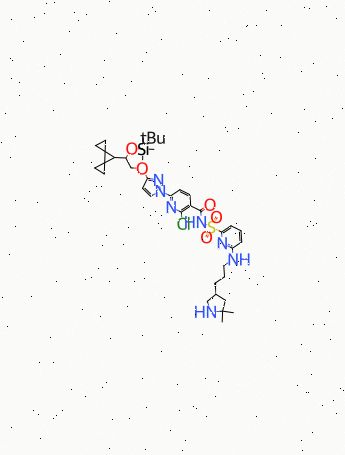 CC1(C)C[C@H](CCCNc2cccc(S(=O)(=O)NC(=O)c3ccc(-n4ccc(OCC(O[Si](C)(C)C(C)(C)C)C5C6(CC6)C56CC6)n4)nc3Cl)n2)CN1